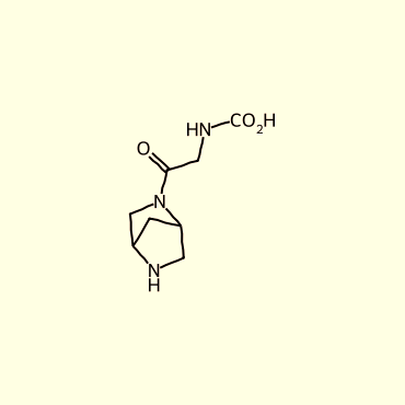 O=C(O)NCC(=O)N1CC2CC1CN2